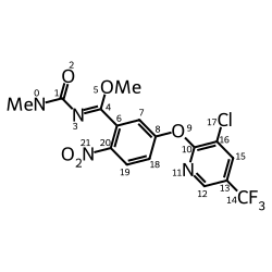 CNC(=O)N=C(OC)c1cc(Oc2ncc(C(F)(F)F)cc2Cl)ccc1[N+](=O)[O-]